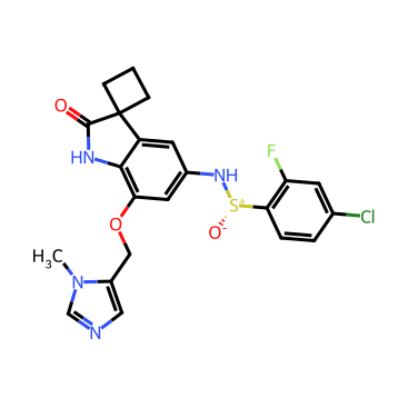 Cn1cncc1COc1cc(N[S@@+]([O-])c2ccc(Cl)cc2F)cc2c1NC(=O)C21CCC1